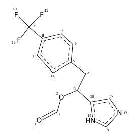 O=COC(Cc1ccc(C(F)(F)F)cc1)c1cnc[nH]1